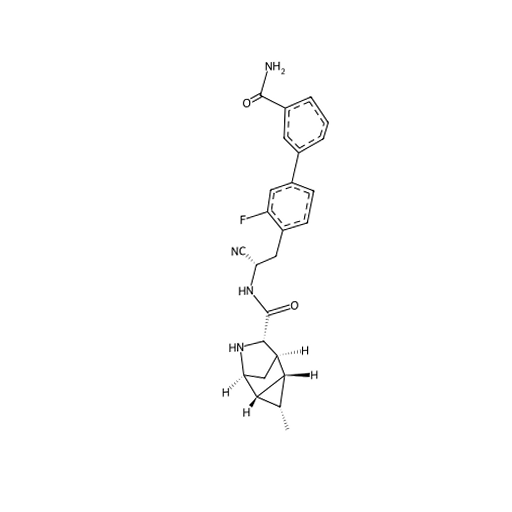 C[C@H]1[C@H]2[C@H]3C[C@H](N[C@@H]3C(=O)N[C@H](C#N)Cc3ccc(-c4cccc(C(N)=O)c4)cc3F)[C@@H]12